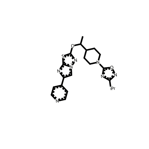 CC(C)c1noc(N2CCC(C(C)Oc3nn4cc(-c5ccncc5)nc4s3)CC2)n1